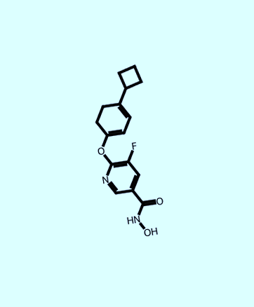 O=C(NO)c1cnc(OC2=CC=C(C3CCC3)CC2)c(F)c1